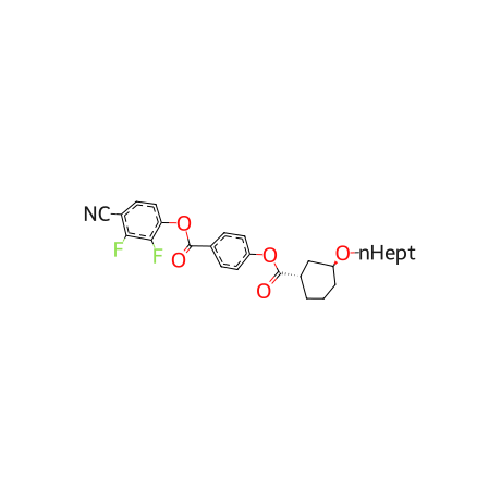 CCCCCCCO[C@H]1CCC[C@H](C(=O)Oc2ccc(C(=O)Oc3ccc(C#N)c(F)c3F)cc2)C1